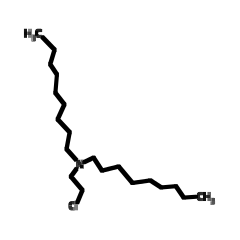 CCCCCCCCCN(CCCl)CCCCCCCCC